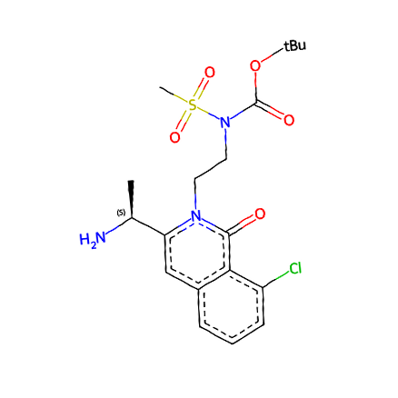 C[C@H](N)c1cc2cccc(Cl)c2c(=O)n1CCN(C(=O)OC(C)(C)C)S(C)(=O)=O